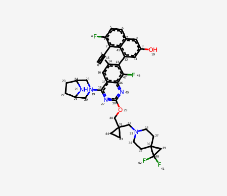 C#Cc1c(F)ccc2cc(O)cc(-c3c(C)cc4c(N5CC6CCC(C5)N6)nc(OCC5(CN6CCC7(CC6)CC7(F)F)CC5)nc4c3F)c12